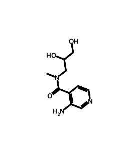 CN(CC(O)CO)C(=O)c1ccncc1N